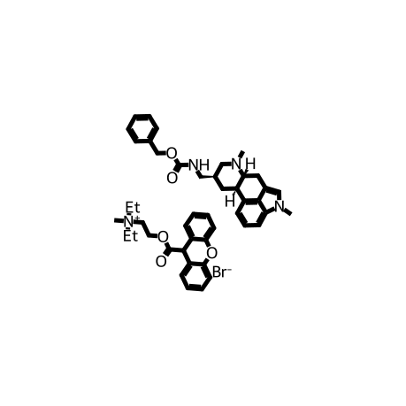 CC[N+](C)(CC)CCOC(=O)C1c2ccccc2Oc2ccccc21.CN1C[C@H](CNC(=O)OCc2ccccc2)C[C@@H]2c3cccc4c3c(cn4C)C[C@H]21.[Br-]